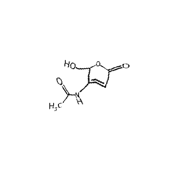 CC(=O)NC1=CC(=O)OC1O